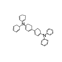 C1=CCC(N(C2=CCCC=C2)C2=CC=C(C3=CC=C(N(c4ccccc4)c4ccccc4)CC3)CC2)C=C1